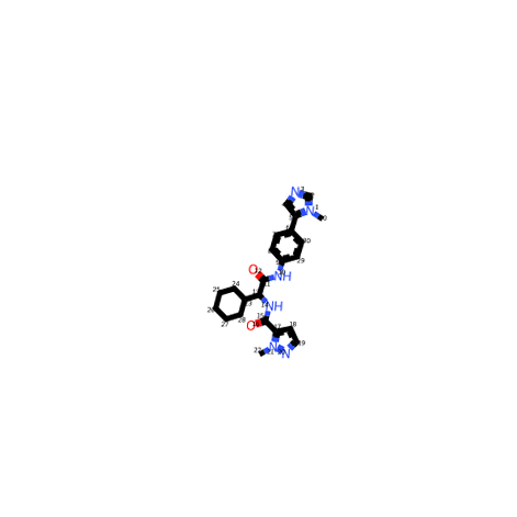 Cn1cncc1-c1ccc(NC(=O)C(NC(=O)c2ccnn2C)C2CCCCC2)cc1